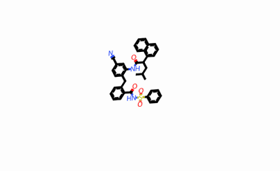 CC(C)CC(C(=O)Nc1cc(C#N)ccc1Cc1ccccc1C(=O)NS(=O)(=O)c1ccccc1)c1cccc2ccccc12